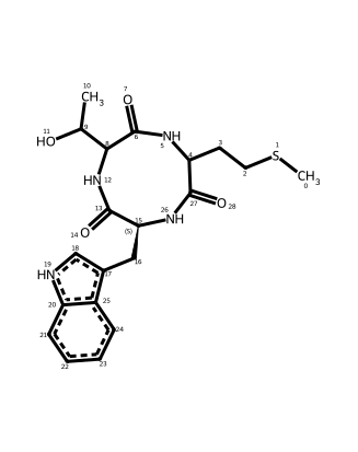 CSCCC1NC(=O)C(C(C)O)NC(=O)[C@H](Cc2c[nH]c3ccccc23)NC1=O